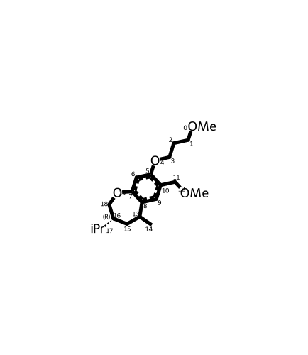 COCCCOc1cc2c(cc1COC)C(C)C[C@H](C(C)C)CO2